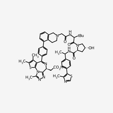 Cc1ncsc1-c1ccc(C(C)NC(=O)[C@@H]2C[C@@H](O)CN2C(=O)C(NC(=O)CN2CCc3c(cccc3-c3ccc(C4=N[C@@H](CC(=O)O)c5nnc(C)n5-c5sc(C)c(C)c54)cc3)C2)C(C)(C)C)cc1